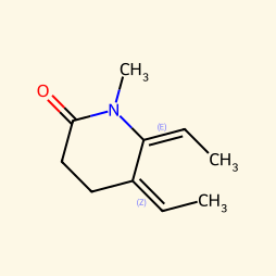 C/C=C1/CCC(=O)N(C)/C1=C/C